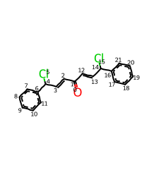 O=C(C=CC(Cl)c1ccccc1)C=CC(Cl)c1ccccc1